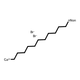 CCCCCCCCCCCCCCCCCCC[CH2][Ga+2].[Br-].[Br-]